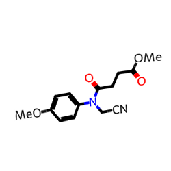 COC(=O)CCC(=O)N(CC#N)c1ccc(OC)cc1